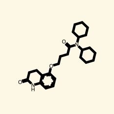 O=C1CCc2c(cccc2OCCCC(=O)N(C2CCCCC2)C2CCCCC2)N1